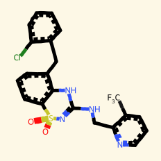 O=S1(=O)N=C(NCc2ncccc2C(F)(F)F)Nc2c(Cc3ccccc3Cl)cccc21